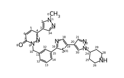 Cn1cc(-c2ccc(=O)n(Cc3cccc(-c4ncc(-c5cnn(C6CCNCC6)c5)s4)c3)n2)cn1